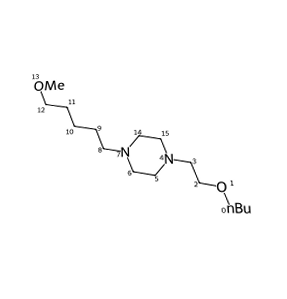 CCCCOCCN1CCN(CCCCCOC)CC1